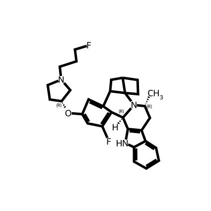 C[C@@H]1Cc2c([nH]c3ccccc23)[C@H]2c3c(F)cc(O[C@@H]4CCN(CCCF)C4)cc3C3CC4CCC43N21